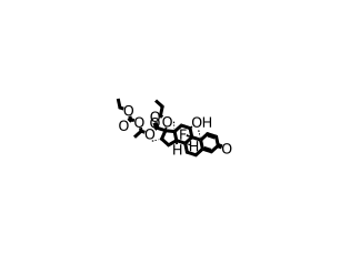 CCOC(=O)OC(C)OC(=O)[C@@]1(OC(=O)CC)[C@@H](C)C[C@H]2[C@@H]3CCC4=CC(=O)C=C[C@]4(C)[C@@]3(F)[C@@H](O)C[C@@]21C